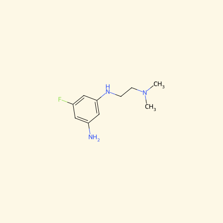 CN(C)CCNc1cc(N)cc(F)c1